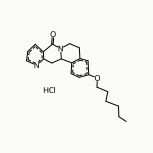 CCCCCCOc1ccc2c(c1)CCN1C(=O)c3cccnc3CC21.Cl